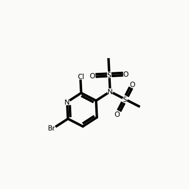 CS(=O)(=O)N(c1ccc(Br)nc1Cl)S(C)(=O)=O